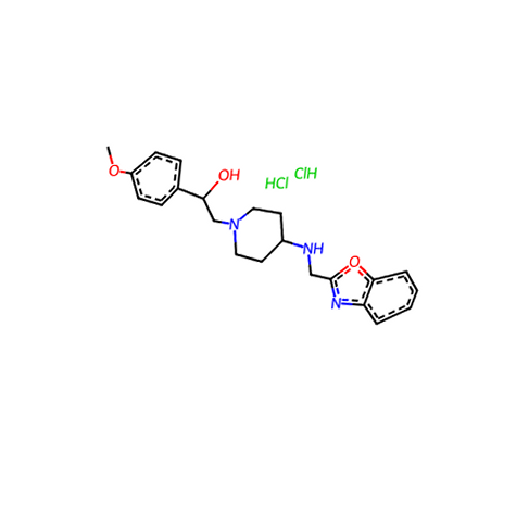 COc1ccc(C(O)CN2CCC(NCc3nc4ccccc4o3)CC2)cc1.Cl.Cl